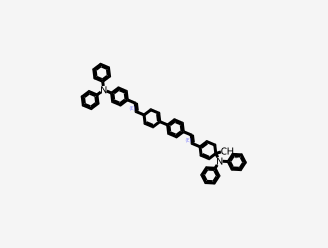 CC1(N(c2ccccc2)c2ccccc2)C=CC(/C=C/c2ccc(C3=CCC(/C=C/c4ccc(N(c5ccccc5)c5ccccc5)cc4)C=C3)cc2)=CC1